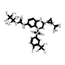 CC(C)(OC(=O)Nc1ccc2c(c1)N(S(=O)(=O)c1ccc(F)c(C(F)(F)F)c1)CC([C@H]1C[C@H]1C(=O)O)O2)C(F)(F)F